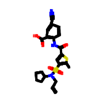 C=CCN(C1CCCC1)S(=O)(=O)c1cc(C(=O)Nc2ccc(C#N)cc2C(=O)O)sc1C